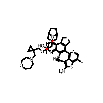 C[C@@H](O)CN1CC2CCC(C1)N2c1nc(OCC2(CN3CCCOCC3)CC2)nc2c(F)c(-c3ncc(F)c4sc(N)c(C#N)c34)c3c(c12)COC3